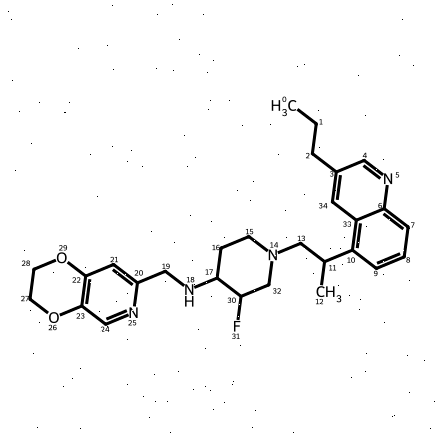 CCCc1cnc2cccc(C(C)CN3CCC(NCc4cc5c(cn4)OCCO5)C(F)C3)c2c1